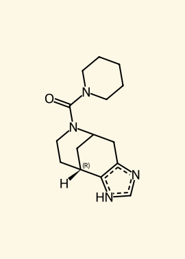 O=C(N1CCCCC1)N1CC[C@@H]2CC1Cc1nc[nH]c12